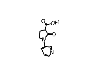 O=C(O)C1CCN(c2cccnc2)C1=O